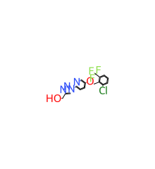 OCc1cn(-c2ccc(OCc3c(Cl)cccc3C(F)(F)F)cn2)nn1